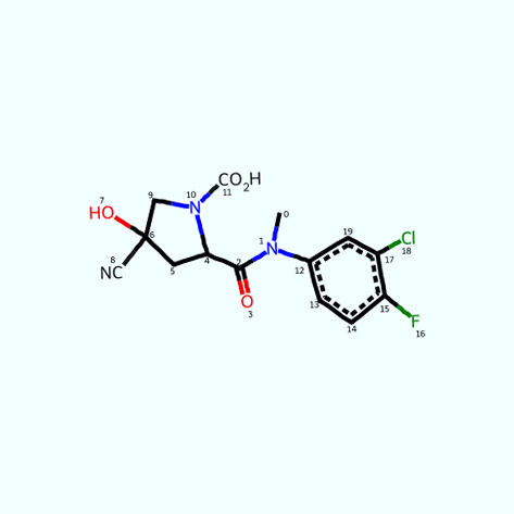 CN(C(=O)C1CC(O)(C#N)CN1C(=O)O)c1ccc(F)c(Cl)c1